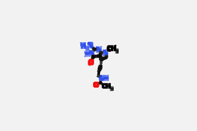 CC(=O)NCC#Cc1cn(C)c2nc(N)[nH]c(=O)c12